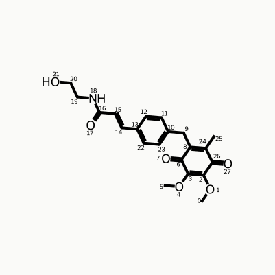 COC1=C(OC)C(=O)C(Cc2ccc(C=CC(=O)NCCO)cc2)=C(C)C1=O